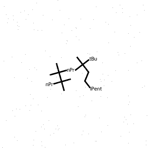 CCCC(C)(C)C(C)(C)CCC.CCCC(C)CCC(C)(C)C(C)(C)C